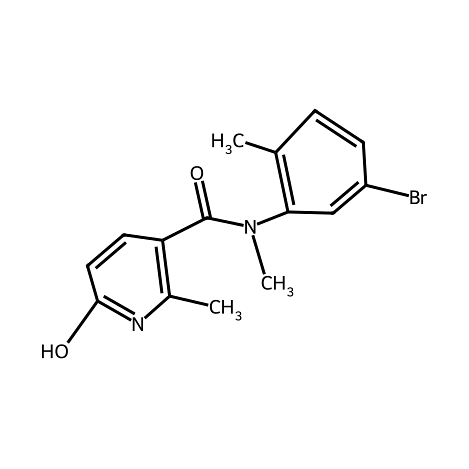 Cc1ccc(Br)cc1N(C)C(=O)c1ccc(O)nc1C